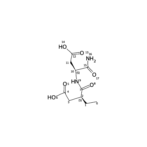 CC[C@@H](CC(=O)O)C(=O)N[C@@H](CC(=O)O)C(N)=O